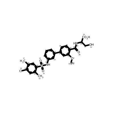 CCCOc1cc(-c2cccc(NS(=O)(=O)c3cc(C)c(Cl)cc3C)c2)ccc1C(=O)NC(CO)C(=O)O